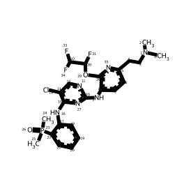 CN(C)CCc1ccc(Nc2ncc(Cl)c(Nc3ccccc3P(C)(C)=O)n2)c(OC(F)C(F)F)n1